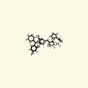 C=C(C(N)CN1C[C@@H]2CC1C(=O)N2C(c1ccc(F)cc1)C1CCCCC1)N1CCCC1C#N